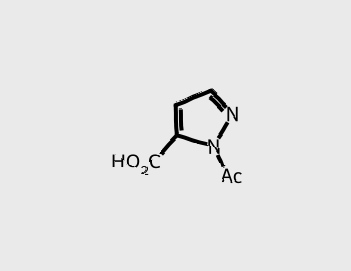 CC(=O)n1nccc1C(=O)O